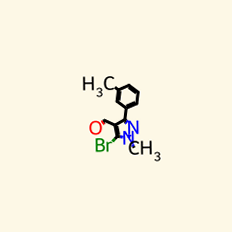 Cc1cccc(-c2nn(C)c(Br)c2C=O)c1